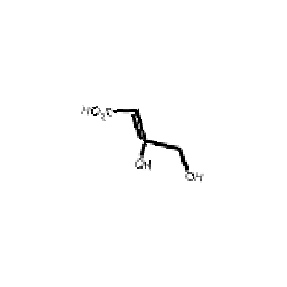 O=C(O)/C=C(\O)CO